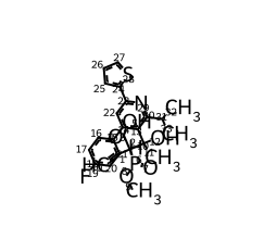 C#CC(C(=O)O)([PH](=O)OC)C(C)(O)c1c(-c2ccc(F)cc2)cc(-c2cccs2)nc1C(C)C